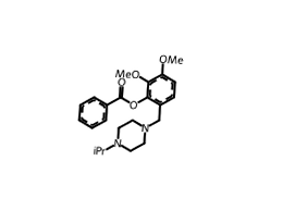 COc1ccc(CN2CCN(C(C)C)CC2)c(OC(=O)c2ccccc2)c1OC